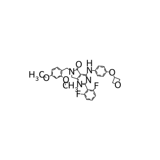 COc1ccc(CN2Cc3nc(-c4c(F)cccc4F)nc(Nc4ccc(OC5COC5)cc4)c3C2=O)c(OC)c1